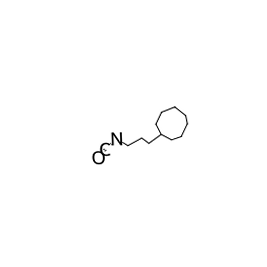 O=C=NCCCC1CCCCCCC1